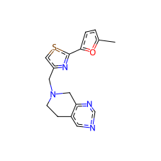 Cc1ccc(-c2nc(CN3CCc4cncnc4C3)cs2)o1